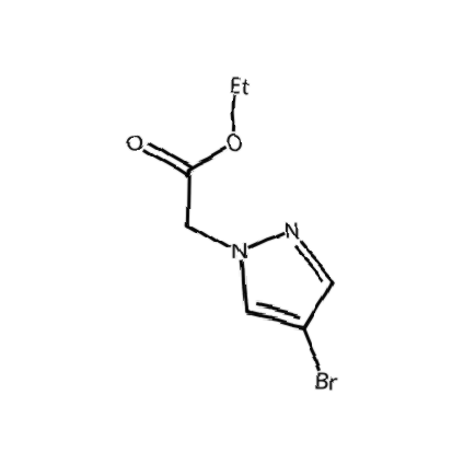 CCOC(=O)Cn1cc(Br)cn1